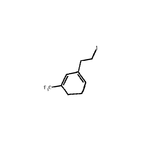 FC(F)(F)C1=CC(CCI)=CCC1